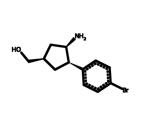 N[C@@H]1C[C@H](CO)C[C@H]1c1ccc(Br)cc1